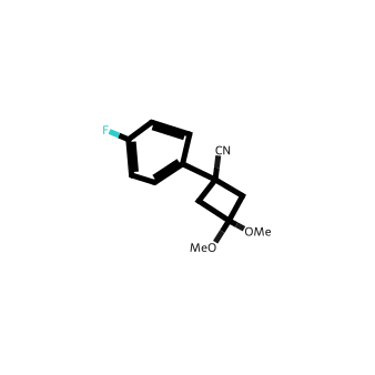 COC1(OC)CC(C#N)(c2ccc(F)cc2)C1